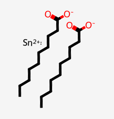 CCCCCCCCCC(=O)[O-].CCCCCCCCCC(=O)[O-].[Sn+2]